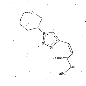 CCCCNC(=O)/C=C\c1cn(C2CCCCC2)nn1